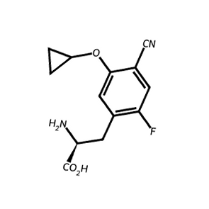 N#Cc1cc(F)c(C[C@H](N)C(=O)O)cc1OC1CC1